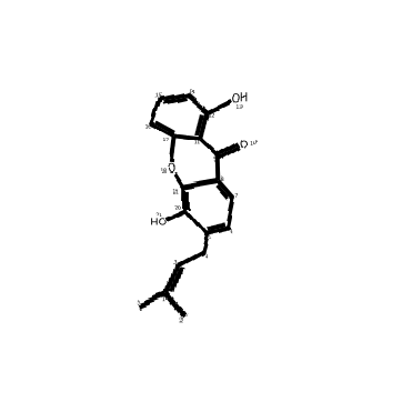 CC(C)=CCc1ccc2c(=O)c3c(O)cccc3oc2c1O